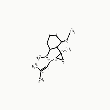 COC1CCC[C@@H](OC)C1[C@@]1(C)O[C@@H]1CC=C(C)C